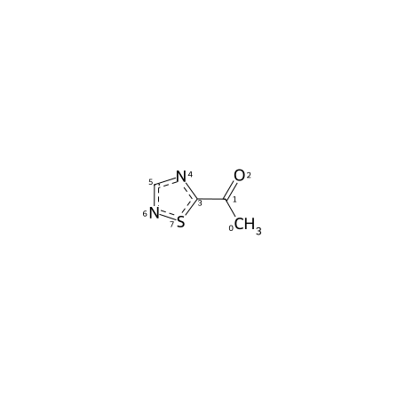 CC(=O)c1n[c]ns1